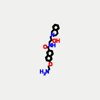 NCCOc1ccc2cc(C(=O)NCC(O)CN3CCc4ccccc4C3)ccc2c1